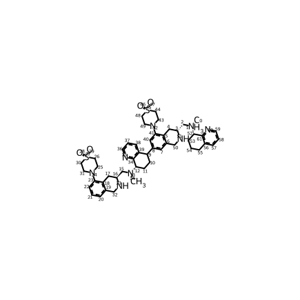 CN(C[C@H]1Cc2c(cc(C3CC[C@H](N(C)C[C@@H]4Cc5c(cccc5N5CCS(=O)(=O)CC5)CN4)c4ncccc43)cc2N2CCS(=O)(=O)CC2)CN1)[C@H]1CCCc2cccnc21